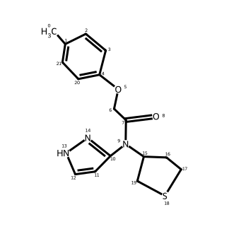 Cc1ccc(OCC(=O)N(c2cc[nH]n2)C2CCSC2)cc1